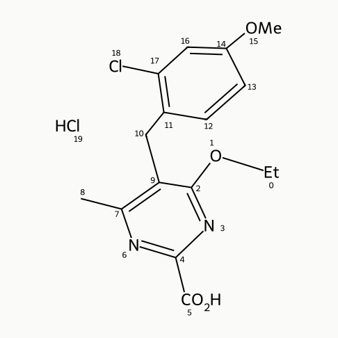 CCOc1nc(C(=O)O)nc(C)c1Cc1ccc(OC)cc1Cl.Cl